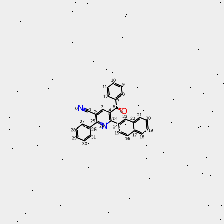 N#Cc1cc(C(=O)c2ccccc2)c(-c2ccc3ccccc3c2)nc1-c1ccccc1